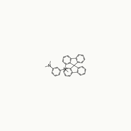 CN(C)c1cccc(N(C)c2cccc3c2C2(c4ccccc4-c4ccccc42)c2ccccc2-3)c1